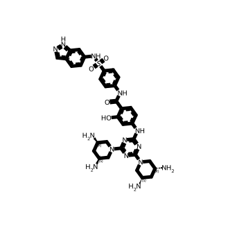 N[C@@H]1C[C@H](N)CN(c2nc(Nc3ccc(C(=O)Nc4ccc(S(=O)(=O)Nc5ccc6cn[nH]c6c5)cc4)c(O)c3)nc(N3C[C@H](N)C[C@H](N)C3)n2)C1